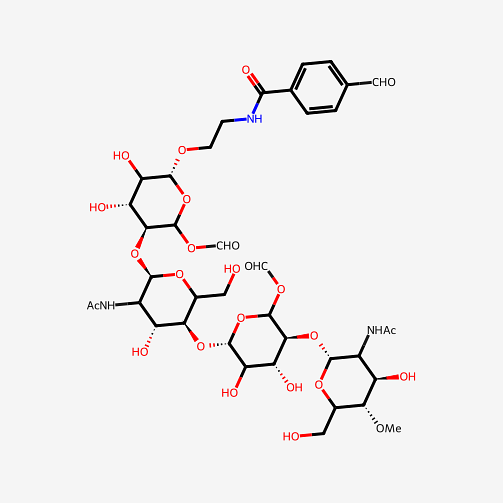 CO[C@@H]1C(CO)O[C@H](O[C@@H]2C(OC=O)O[C@@H](O[C@@H]3C(CO)O[C@H](O[C@@H]4C(OC=O)O[C@@H](OCCNC(=O)c5ccc(C=O)cc5)C(O)[C@H]4O)C(NC(C)=O)[C@H]3O)C(O)[C@H]2O)C(NC(C)=O)[C@H]1O